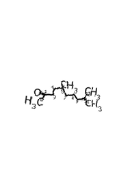 CC(=O)CCC(C)CCCC(C)C